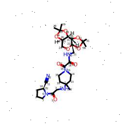 CC1(NCC(=O)N2CCC[C@H]2C#N)CCN(C(=O)C(=O)NC[C@@]23OC[C@H]4OC(C)(C)O[C@H]4[C@@H]2OC(C)(C)O3)CC1